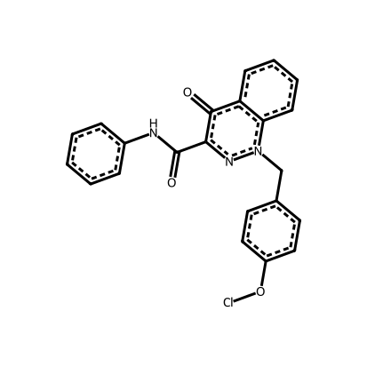 O=C(Nc1ccccc1)c1nn(Cc2ccc(OCl)cc2)c2ccccc2c1=O